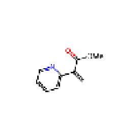 C=C(C(=O)OC)c1ccccn1